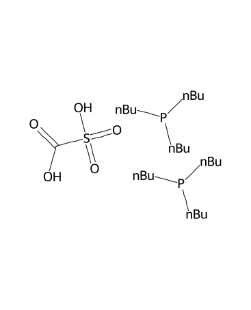 CCCCP(CCCC)CCCC.CCCCP(CCCC)CCCC.O=C(O)S(=O)(=O)O